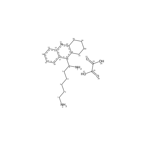 NCCCCCC(N)c1c2c(nc3ccccc13)CCCC2.O=C(O)C(=O)O